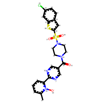 Cc1cccc(-c2ncc(C(=O)N3CCN(S(=O)(=O)c4cc5ccc(Cl)cc5s4)CC3)cn2)[n+]1[O-]